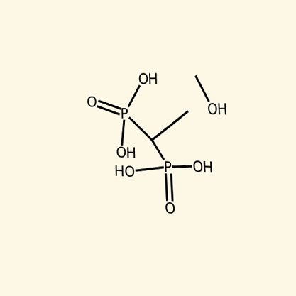 CC(P(=O)(O)O)P(=O)(O)O.CO